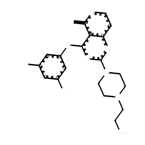 O=c1[nH]ccc2nc(N3CCN(CCO)CC3)nc(Nc3cc(C(F)(F)F)cc(C(F)(F)F)c3)c12